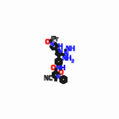 Cc1c(C#N)cc(C(=O)Nc2ccc(-c3cc(C4CCN(C(=O)C(C)C)CC4)[nH]c3/C(N)=N\C=N)cc2)c(=O)n1-c1ccccc1